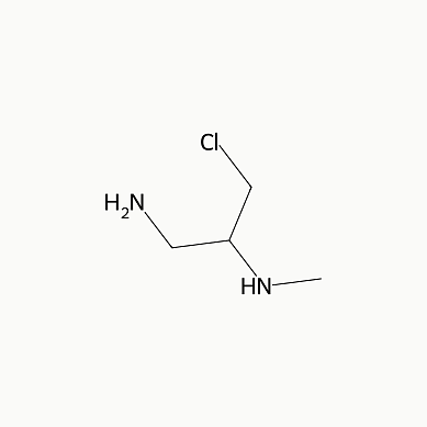 CNC(CN)CCl